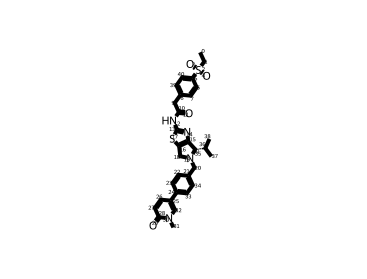 CCS(=O)(=O)c1ccc(CC(=O)Nc2nc3c(s2)CN(Cc2ccc(-c4ccc(=O)n(C)c4)cc2)[C@H]3C(C)C)cc1